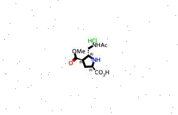 COC(=O)[C@@H]1C[C@H](C(=O)O)N[C@H]1CNC(C)=O.Cl